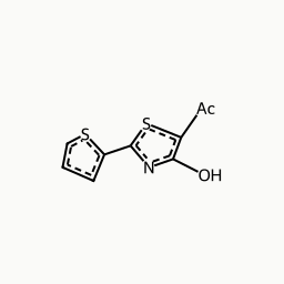 CC(=O)c1sc(-c2cccs2)nc1O